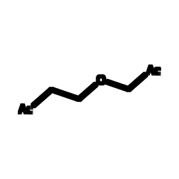 CC(=O)CCOCC(C)=O